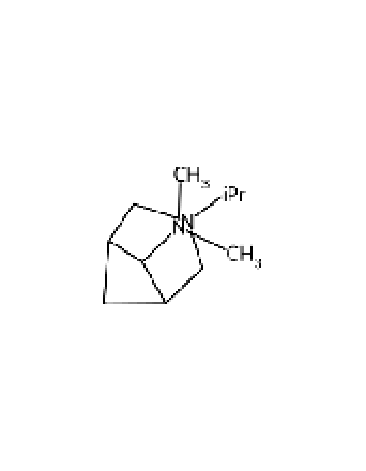 CC(C)N1CC2CC(C1)C2N(C)C